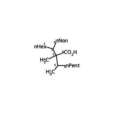 CCCCCCCCCC(CCCCCC)C(C)(C(=O)O)C(C)CCCCC